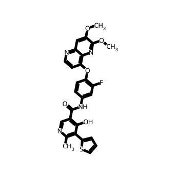 COc1cc2nccc(Oc3ccc(NC(=O)c4cnc(C)c(-c5cccs5)c4O)cc3F)c2nc1OC